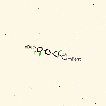 CCCCCCCCCCc1ccc(-c2ccc(-c3ccc(C4CCC(CCCCC)CO4)c(F)c3)cc2)c(F)c1F